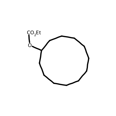 CCOC(=O)OC1CCCCCCCCCCC1